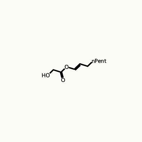 CCCCCCC=COC(=O)CO